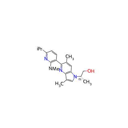 CNc1nc(C(C)C)ccc1-c1nc2c(C)cn([C@@H](C)CO)c2cc1C